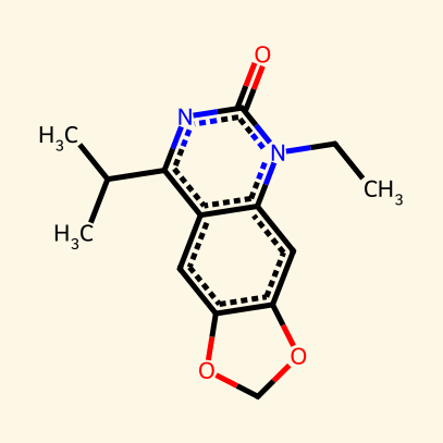 CCn1c(=O)nc(C(C)C)c2cc3c(cc21)OCO3